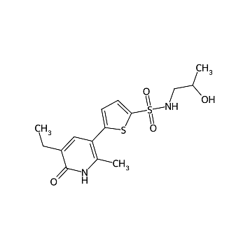 CCc1cc(-c2ccc(S(=O)(=O)NCC(C)O)s2)c(C)[nH]c1=O